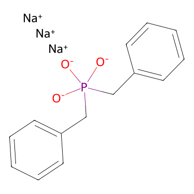 [Na+].[Na+].[Na+].[O-]P([O-])([O-])(Cc1ccccc1)Cc1ccccc1